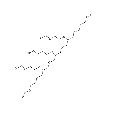 [3H]SOCCOCC(COCC(COCC(COCCOS[3H])OCCOS[3H])OCCOS[3H])OCCOS[3H]